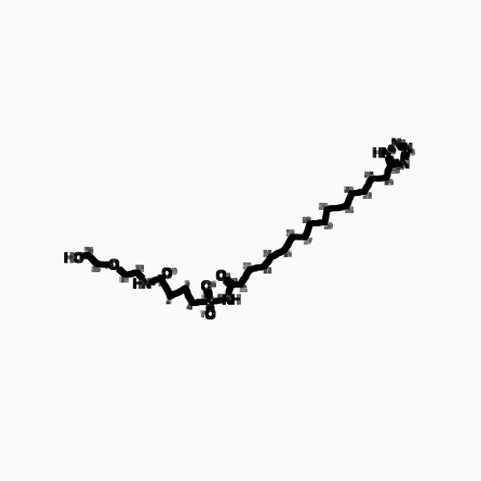 O=C(CCCS(=O)(=O)NC(=O)CCCCCCCCCCCCCCCc1nnn[nH]1)NCCOCCO